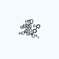 C[C@H](NC(=O)[C@@H]1C[C@@H](O)CN1C(=O)[C@@H](NC(=O)[C@@H]1CCCCN1)C(C)(C)C)c1ccc(-c2ccccc2F)cc1